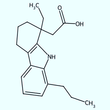 CCCc1cccc2c3c([nH]c12)C(CC)(CC(=O)O)CCC3